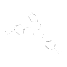 Cc1ccc(CSC(Cn2ccnc2)[S+]([O-])Cc2ccc(C)cc2)cc1